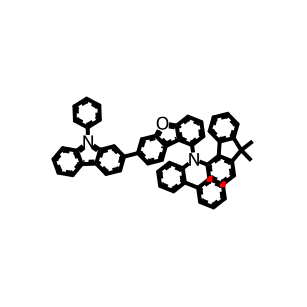 CC1(C)c2ccccc2-c2c(N(c3ccccc3-c3ccccc3)c3cccc4oc5cc(-c6ccc7c8ccccc8n(-c8ccccc8)c7c6)ccc5c34)cccc21